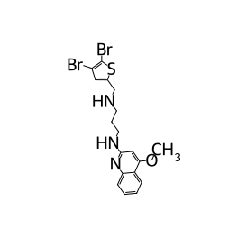 COc1cc(NCCCNCc2cc(Br)c(Br)s2)nc2ccccc12